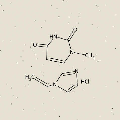 C=Cn1ccnc1.Cl.Cn1ccc(=O)[nH]c1=O